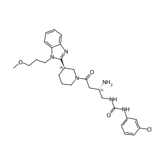 COCCCn1c([C@@H]2CCCN(C(=O)C[C@H](N)CNC(=O)Nc3cccc(Cl)c3)C2)nc2ccccc21